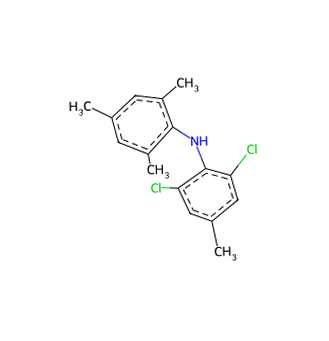 Cc1cc(C)c(Nc2c(Cl)cc(C)cc2Cl)c(C)c1